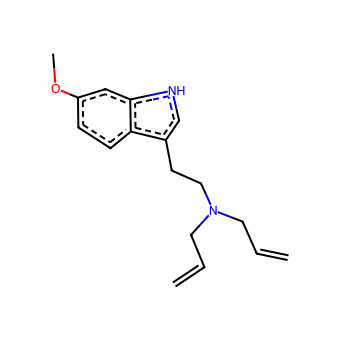 C=CCN(CC=C)CCc1c[nH]c2cc(OC)ccc12